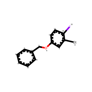 CCc1cc(OCc2ccccc2)ccc1I